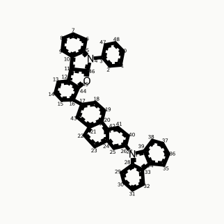 c1ccc(-n2c3ccccc3c3c4cccc(-c5ccc6c(ccc7cc(-n8c9ccccc9c9ccccc98)ccc76)c5)c4oc32)cc1